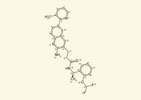 Cc1cccnc1-c1ccc2nc(N)c(CCC(=O)N[C@H](C)c3ccccc3OC(F)F)cc2c1